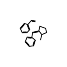 C=Cc1ccccc1.CC1CCCC1=Cc1ccccc1